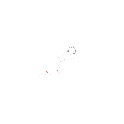 Cc1c(CC2CC3(C2)CN(C(=O)[C@H]2C[C@@](C)(O)C2)C3)cccc1C1CC1